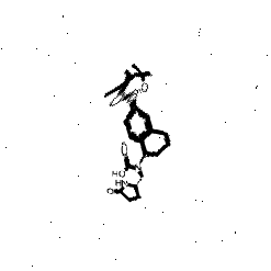 CC1(C)OB(c2ccc3c(c2)CCC[C@H]3N(C[C@@H]2CCC(=O)N2)C(=O)O)OC1(C)C